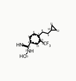 N=C(NO)c1ccc(CCC2CC2)c(C(F)(F)F)c1